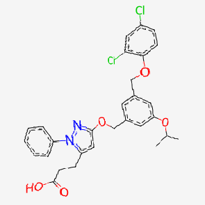 CC(C)Oc1cc(COc2cc(CCC(=O)O)n(-c3ccccc3)n2)cc(COc2ccc(Cl)cc2Cl)c1